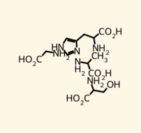 CC(N)C(=O)O.NC(CO)C(=O)O.NC(Cc1c[nH]cn1)C(=O)O.NCC(=O)O